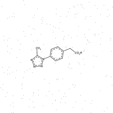 Cc1nnnn1-c1ccc(CC(=O)O)cc1